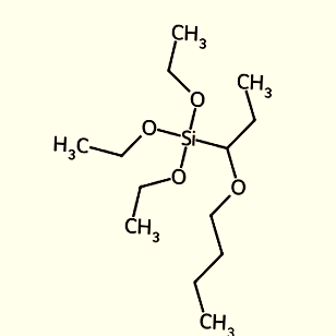 CCCCOC(CC)[Si](OCC)(OCC)OCC